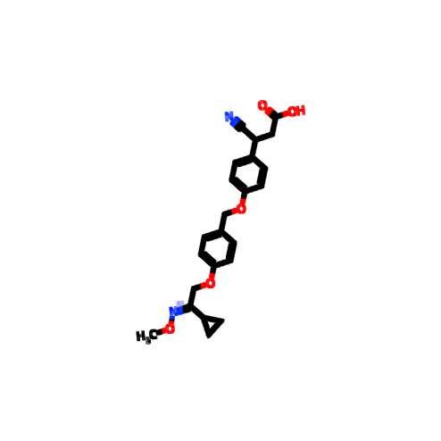 CO/N=C(/COc1ccc(COc2ccc(C(C#N)CC(=O)O)cc2)cc1)C1CC1